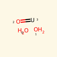 O.O.[O]=[U]